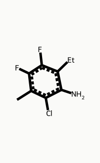 CCc1c(N)c(Cl)c(C)c(F)c1F